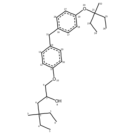 CCC(C)(CC)CC(O)COc1ccc(Cc2ccc(OC(C)(CC)CC)cc2)cc1